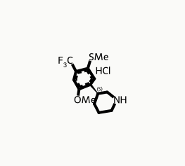 COc1cc(C(F)(F)F)c(SC)cc1[C@@H]1CCCNC1.Cl